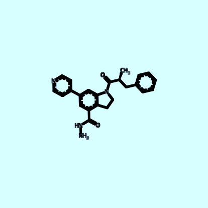 C[C@@H](Cc1ccccc1)C(=O)N1CCc2c(C(=O)NN)cc(-c3ccncc3)cc21